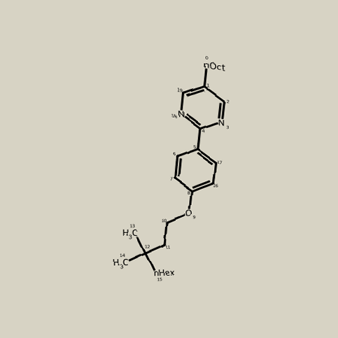 CCCCCCCCc1cnc(-c2ccc(OCCC(C)(C)CCCCCC)cc2)nc1